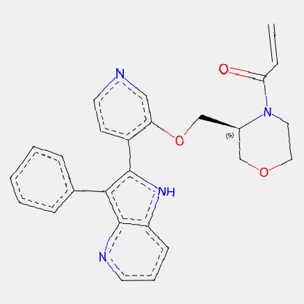 C=CC(=O)N1CCOC[C@H]1COc1cnccc1-c1[nH]c2cccnc2c1-c1ccccc1